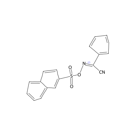 N#C/C(=N\OS(=O)(=O)c1ccc2ccccc2c1)c1ccccc1